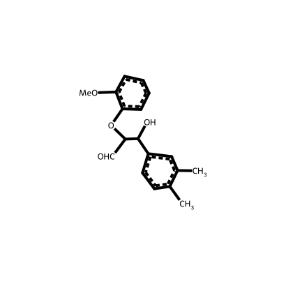 COc1ccccc1OC(C=O)C(O)c1ccc(C)c(C)c1